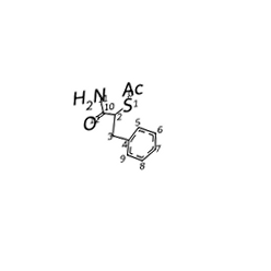 CC(=O)SC(Cc1ccccc1)C(N)=O